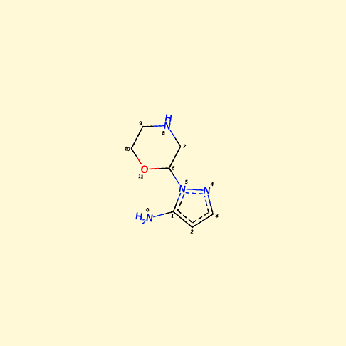 Nc1ccnn1C1CNCCO1